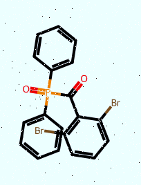 O=C(c1c(Br)cccc1Br)P(=O)(c1ccccc1)c1ccccc1